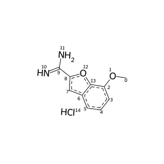 COc1cccc2cc(C(=N)N)oc12.Cl